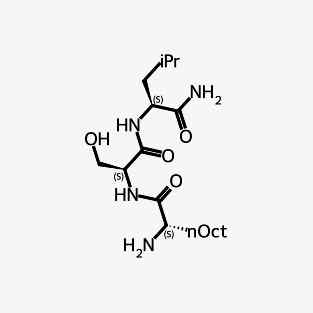 CCCCCCCC[C@H](N)C(=O)N[C@@H](CO)C(=O)N[C@@H](CC(C)C)C(N)=O